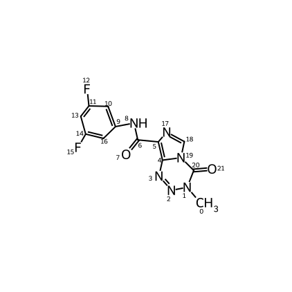 Cn1nnc2c(C(=O)Nc3cc(F)cc(F)c3)ncn2c1=O